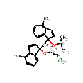 C[SiH](C)O[C]1([Zr+2][C]2(O[SiH](C)C)C=Cc3c(C(C)(C)C)cccc32)C=Cc2c(C(C)(C)C)cccc21.[Cl-].[Cl-]